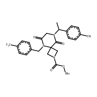 CC(c1ccc(C#N)cc1)N1CC(=O)N(Cc2ccc(C(F)(F)F)cc2)C2(CN(C(=O)OC(C)(C)C)C2)C1=O